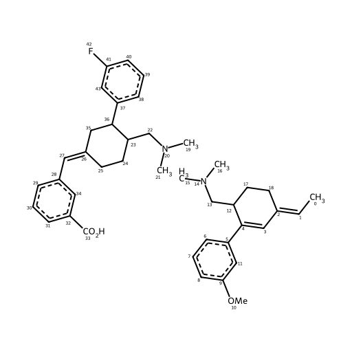 C/C=C1/C=C(c2cccc(OC)c2)C(CN(C)C)CC1.CN(C)CC1CC/C(=C\c2cccc(C(=O)O)c2)CC1c1cccc(F)c1